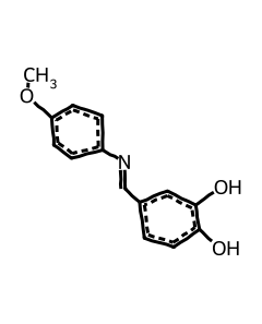 COc1ccc(/N=C/c2ccc(O)c(O)c2)cc1